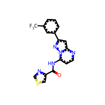 O=C(Nc1ccnc2cc(-c3cccc(C(F)(F)F)c3)nn12)c1cscn1